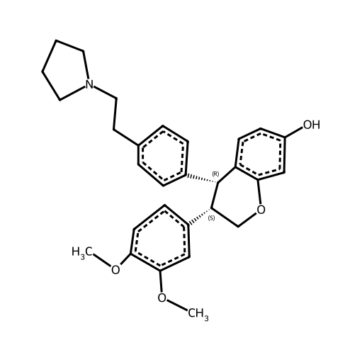 COc1ccc([C@H]2COc3cc(O)ccc3[C@H]2c2ccc(CCN3CCCC3)cc2)cc1OC